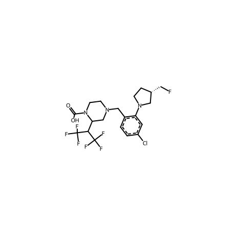 O=C(O)N1CCN(Cc2ccc(Cl)cc2N2CC[C@H](CF)C2)CC1C(C(F)(F)F)C(F)(F)F